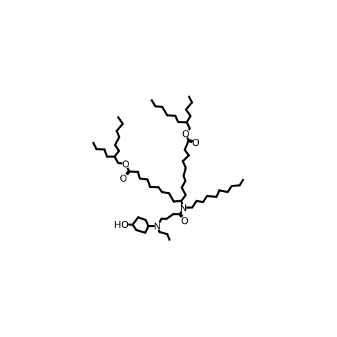 CCCCCCCCCCN(C(=O)CCCN(CCC)C1CCC(O)CC1)C(CCCCCCCCC(=O)OCC(CCCC)CCCCCC)CCCCCCCCC(=O)OCC(CCCC)CCCCCC